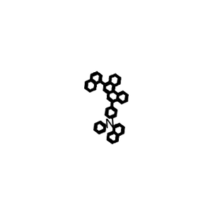 C1=Cc2cccc(-c3cc4cc(-c5ccc(N(c6ccccc6)c6cccc7ccccc67)cc5)c5ccccc5c4c4c3CCC=C4)c2CC1